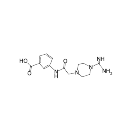 N=C(N)N1CCN(CC(=O)Nc2cccc(C(=O)O)c2)CC1